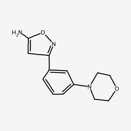 Nc1cc(-c2cccc(N3CCOCC3)c2)no1